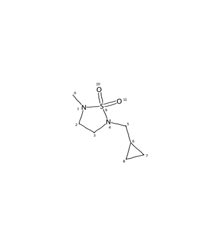 CN1CCN(CC2CC2)S1(=O)=O